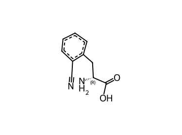 N#Cc1ccccc1C[C@@H](N)C(=O)O